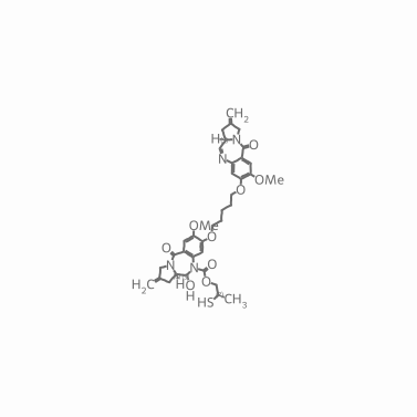 C=C1C[C@H]2C=Nc3cc(OCCCCCOc4cc5c(cc4OC)C(=O)N4CC(=C)C[C@H]4[C@H](O)N5C(=O)OC[C@@H](C)S)c(OC)cc3C(=O)N2C1